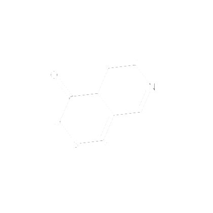 O=C1CSC=C2C=NCCC12